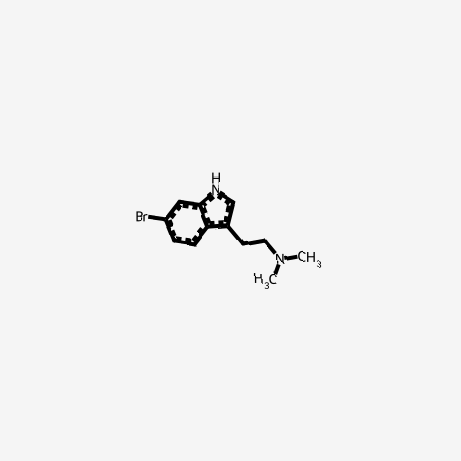 CN(C)CCc1c[nH]c2cc(Br)ccc12